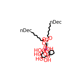 CCCCCCCCCCCCCCCCCC(=O)OC[C@H](COP(=O)(O)O[C@@H]1CCCC[C@H]1OC1OC(CO)C(O)C(O)C1O)OC(=O)CCCCCCCCCCCCCCCCC